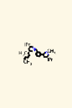 C=C(/C=C\C=C/C)[C@H]1C[C@@H](C(C)C)CN(Cc2cccc(C3C[C@@H](C(C)C)CN(C)C3)c2)C1